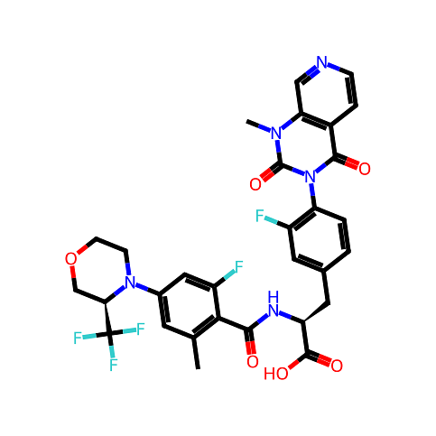 Cc1cc(N2CCOC[C@@H]2C(F)(F)F)cc(F)c1C(=O)N[C@@H](Cc1ccc(-n2c(=O)c3ccncc3n(C)c2=O)c(F)c1)C(=O)O